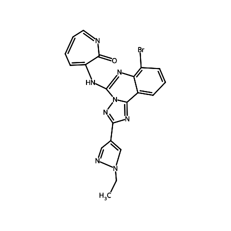 CCn1cc(-c2nc3c4cccc(Br)c4nc(Nc4ccccnc4=O)n3n2)cn1